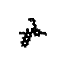 CC(=O)On1c(=O)c(-c2cn(CCCN)c3cc([N+](=O)[O-])ccc23)nc2cc3c(cc21)CCCC3